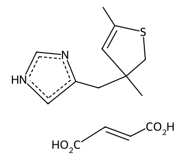 CC1=CC(C)(Cc2c[nH]cn2)CS1.O=C(O)C=CC(=O)O